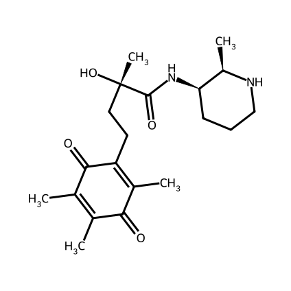 CC1=C(C)C(=O)C(CC[C@](C)(O)C(=O)N[C@@H]2CCCN[C@@H]2C)=C(C)C1=O